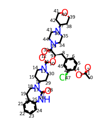 CC(=O)Oc1ccc(C[C@@H](OC(=O)N2CCC(N3CCc4ccccc4NC3=O)CC2)C(=O)N2CCN(C3CCOCC3)CC2)cc1Cl